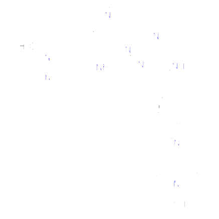 CN1CCN(c2ccc(Nc3nc4cncc(Nc5cnn(C)c5)n4n3)cc2)CC1